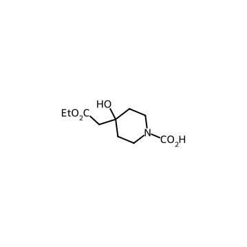 CCOC(=O)CC1(O)CCN(C(=O)O)CC1